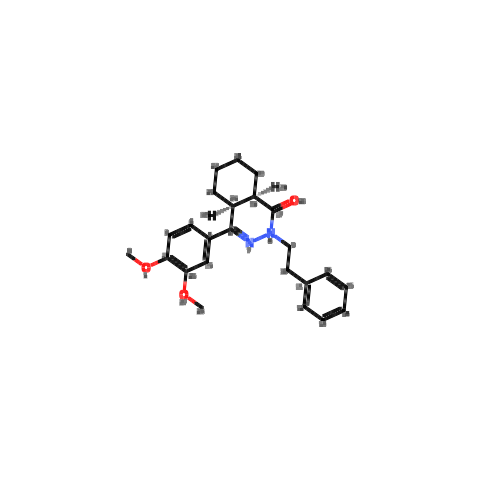 COc1ccc(C2=NN(CCc3ccccc3)C(=O)[C@@H]3CCCC[C@H]23)cc1OC